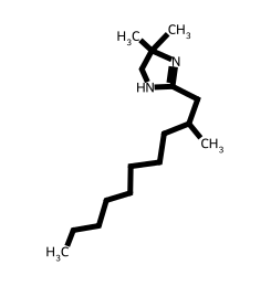 CCCCCCCCC(C)CC1=NC(C)(C)CN1